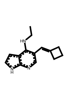 CCNc1c(C=C2CCC2)cnc2[nH]ccc12